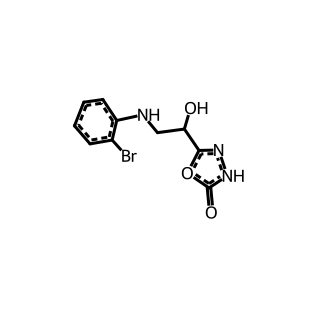 O=c1[nH]nc(C(O)CNc2ccccc2Br)o1